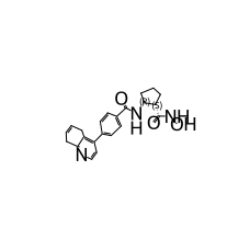 O=C(N[C@@H]1CCC[C@@H]1C(=O)NO)c1ccc(-c2ccnc3c2CC=CC3)cc1